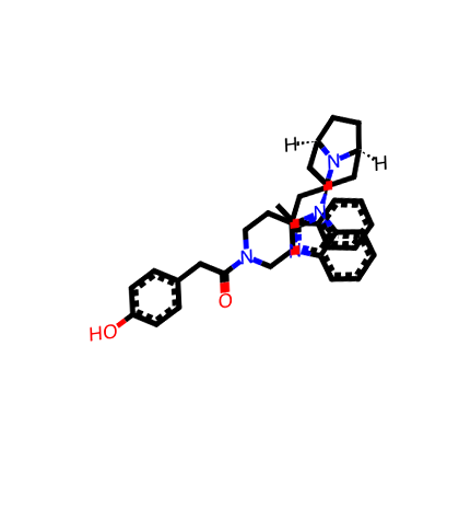 Cc1nc2ccccc2n1[C@H]1C[C@H]2CC[C@@H](C1)N2CCC1(c2ccccc2)CCN(C(=O)Cc2ccc(O)cc2)CC1